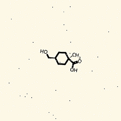 C[C@]1(C(=O)O)CC[C@@H](CO)CC1